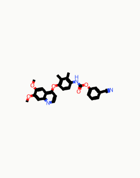 COc1cc2nccc(Oc3ccc(NC(=O)Oc4cccc(C#N)c4)c(C)c3C)c2cc1OC